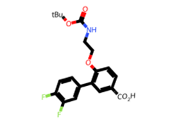 CC(C)(C)OC(=O)NCCOc1ccc(C(=O)O)cc1-c1ccc(F)c(F)c1